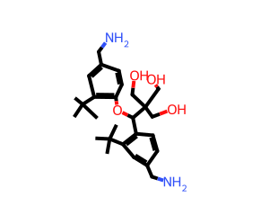 CC(C)(C)c1cc(CN)ccc1OC(c1ccc(CN)cc1C(C)(C)C)C(CO)(CO)CO